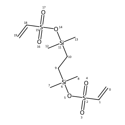 C=CS(=O)(=O)O[Si](C)(C)CC[Si](C)(C)OS(=O)(=O)C=C